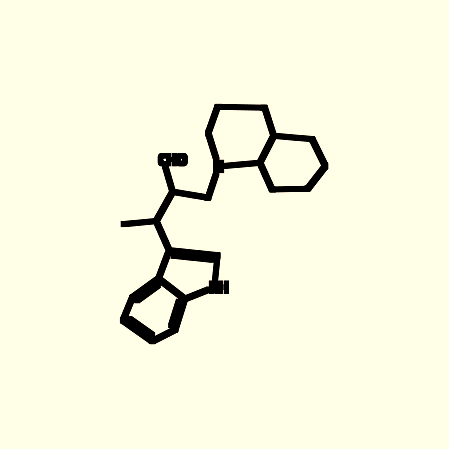 CC(c1c[nH]c2ccccc12)C(C=O)CN1CCCC2CCCCC21